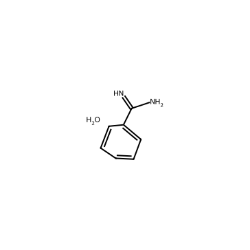 N=C(N)c1ccccc1.O